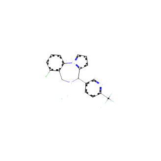 Cl.FC(F)(F)c1ccc(C2NCc3c(Cl)cccc3-n3cccc32)cn1